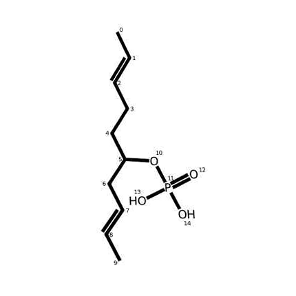 CC=CCCC(CC=CC)OP(=O)(O)O